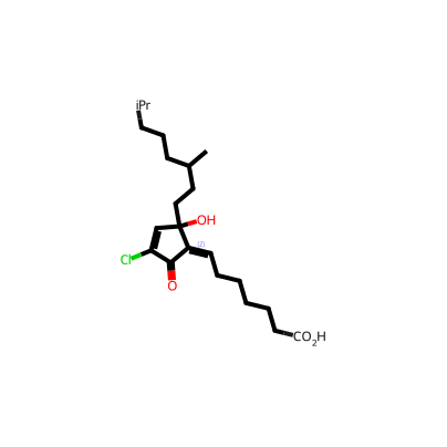 CC(C)CCCC(C)CCC1(O)C=C(Cl)C(=O)/C1=C\CCCCCC(=O)O